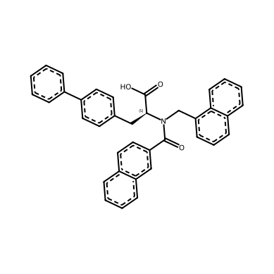 O=C(O)[C@H](Cc1ccc(-c2ccccc2)cc1)N(Cc1cccc2ccccc12)C(=O)c1ccc2ccccc2c1